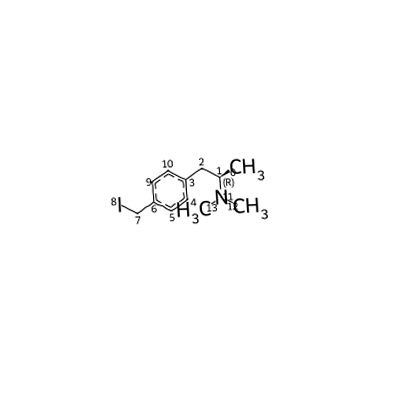 C[C@H](Cc1ccc(CI)cc1)N(C)C